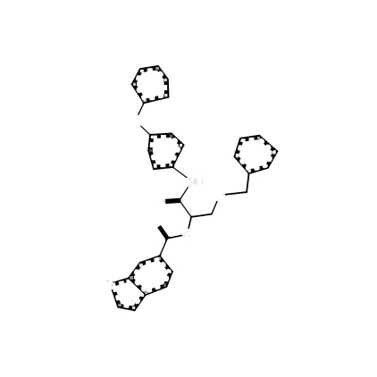 O=C(NC(COCc1ccccc1)C(=O)Nc1ccc(Oc2ccccc2)cc1)c1ccc2cc[nH]c2c1